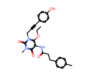 CCOc1c(NC(=O)CCc2ccc(C)cc2)c(=O)n(C)c(=O)n1CC#Cc1ccc(O)cc1